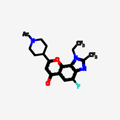 CC(=O)N1CCC(c2cc(=O)c3cc(F)c4nc(C(F)(F)F)n(CC(F)(F)F)c4c3o2)CC1